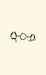 Fc1ccccc1C1CCN(c2ccn[nH]2)CC1